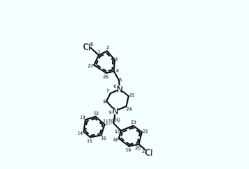 Clc1ccc(CN2CCN([C@@H](c3ccccc3)c3ccc(Cl)cc3)CC2)cc1